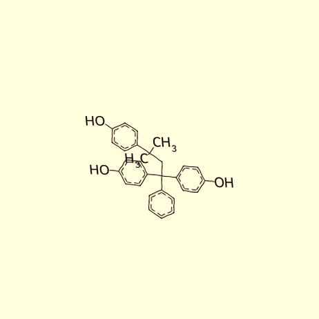 CC(C)(CC(c1ccccc1)(c1ccc(O)cc1)c1ccc(O)cc1)c1ccc(O)cc1